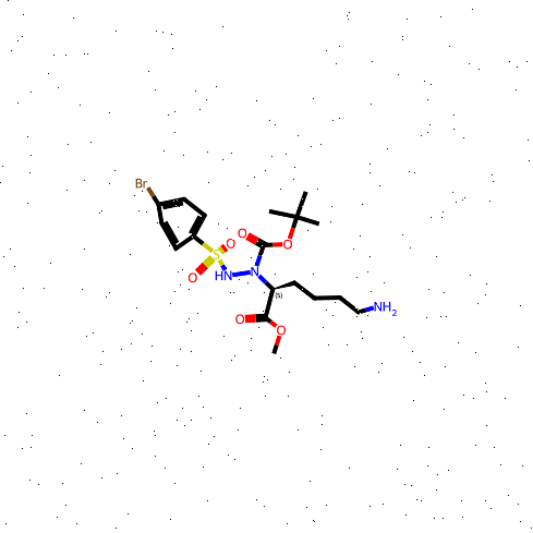 COC(=O)[C@H](CCCCN)N(NS(=O)(=O)c1ccc(Br)cc1)C(=O)OC(C)(C)C